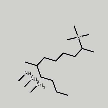 CN.CN.CN.[CH2]C(CCCC)CCCCC(C)[N+](C)(C)C